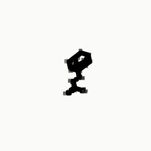 O=C(Cl)OOC1C2CC3CC(C2)CC1C3